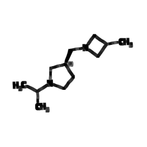 CC1CN(C[C@H]2CCN(C(C)C)C2)C1